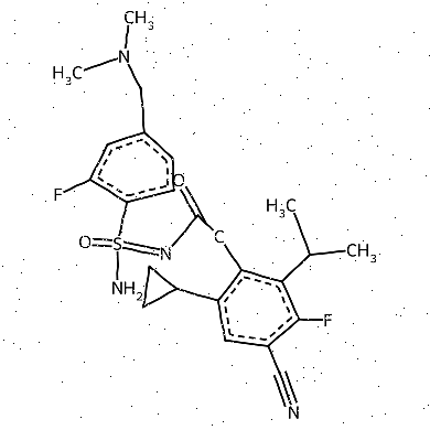 CC(C)c1c(F)c(C#N)cc(C2CC2)c1CC(=O)N=S(N)(=O)c1ccc(CN(C)C)cc1F